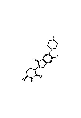 O=C1CCC(N2Cc3cc(F)c(N4CCNCC4)cc3C2=O)C(=O)N1